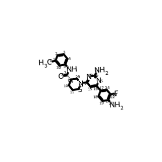 Cc1cccc(NC(=O)[C@H]2CCCN(c3cc(-c4ccc(N)c(F)c4)nc(N)n3)C2)c1